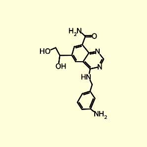 NC(=O)c1cc(C(O)CO)cc2c(NCc3cccc(N)c3)ncnc12